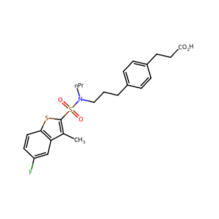 CCCN(CCCc1ccc(CCC(=O)O)cc1)S(=O)(=O)c1sc2ccc(F)cc2c1C